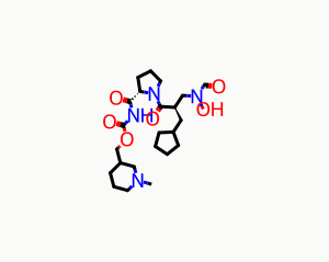 CN1CCCC(COC(=O)NC(=O)[C@@H]2CCCN2C(=O)[C@H](CC2CCCC2)CN(O)C=O)C1